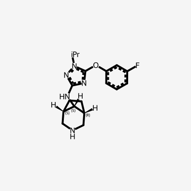 CC(C)n1nc(N[C@@H]2[C@@H]3CC[C@H]2CNC3)nc1Oc1cccc(F)c1